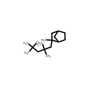 CC(C)(C)CC(C)(C)CC1(C)CC2CCC1C2